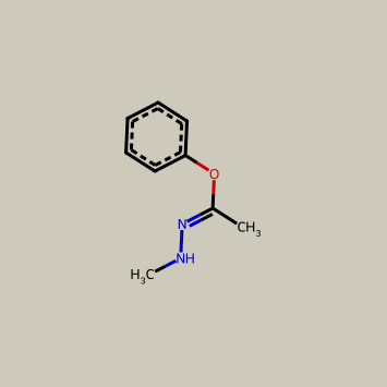 CNN=C(C)Oc1ccccc1